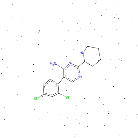 Nc1nc(C2CCCCN2)ncc1-c1ccc(Cl)cc1Cl